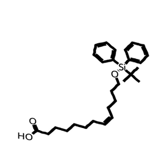 CC(C)(C)[Si](OCCCC/C=C\CCCCCCC(=O)O)(c1ccccc1)c1ccccc1